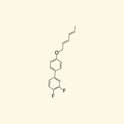 CC=CC=CCOc1ccc(-c2ccc(F)c(F)c2)cc1